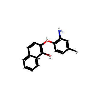 CC(=O)c1ccc(Oc2ccc3ccccc3c2Br)c(N)c1